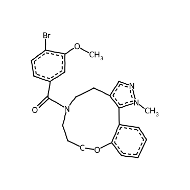 COc1cc(C(=O)N2CCCOc3ccccc3-c3c(cnn3C)CC2)ccc1Br